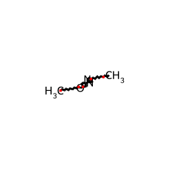 CCCCCCCCC=COc1ccc(-c2ncc(CCCCCCCCC)cn2)cc1